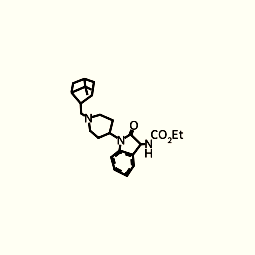 CCOC(=O)NC1C(=O)N(C2CCN(CC3CCC4CC3C4(C)C)CC2)c2ccccc21